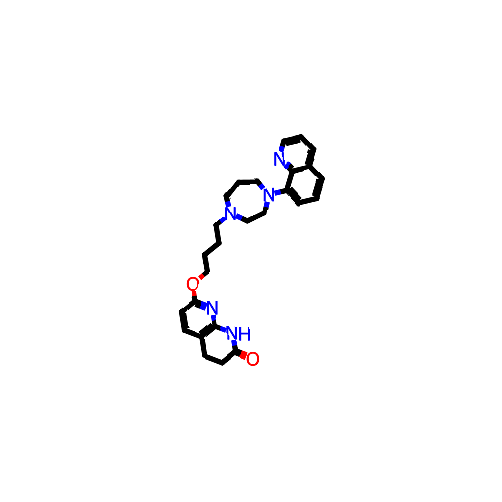 O=C1CCc2ccc(OCCCCN3CCCN(c4cccc5cccnc45)CC3)nc2N1